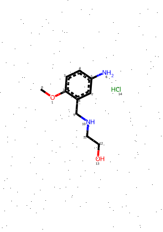 COc1ccc(N)cc1CNCCO.Cl